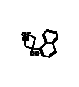 O=[C]CC([C]=O)(CO)c1cccc2ccccc12